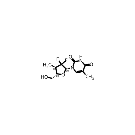 Cc1cn([C@@H]2O[C@H](CO)[C@@H](C)C2(F)F)c(=O)[nH]c1=O